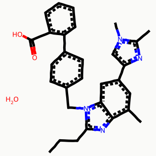 CCCc1nc2c(C)cc(-c3cn(C)c(C)n3)cc2n1Cc1ccc(-c2ccccc2C(=O)O)cc1.O